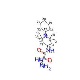 CC1(C)CC(NC(=O)C(=O)NN)CC(C)(C)N1C1CCCCC1